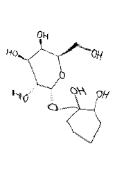 OC[C@H]1O[C@H](OC2(O)CCCCC2O)[C@H](O)[C@@H](O)[C@H]1O